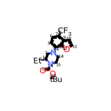 CC[C@H]1CN(c2ccc(C(F)(F)F)c3ccoc23)CCN1C(=O)OC(C)(C)C